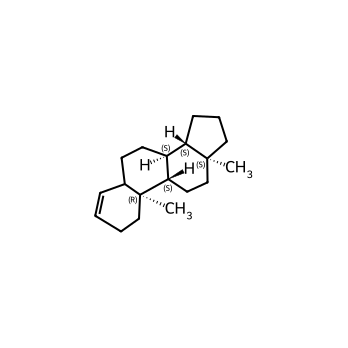 C[C@@]12CCC[C@H]1[C@@H]1CCC3C=CCC[C@]3(C)[C@H]1CC2